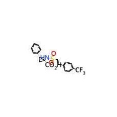 O=C(O)[C@]1(NS(=O)(=O)C=Cc2ccc(C(F)(F)F)cc2)C[C@@H]1c1ccccc1